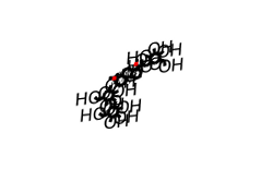 C=C1C[C@@]23CC[C@H]4[C@@](C)(CCC[C@@]4(C)C(=O)OC4OC(CO)C(O)C(O)C4O)[C@@H]2CC[C@]1(OC1OC(CO)C(O)C(OC2OC(CO)C(O)C(O)C2O)C1O)C3